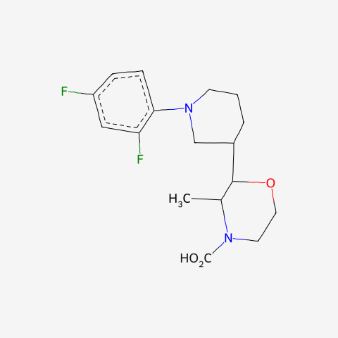 CC1C(C2CCCN(c3ccc(F)cc3F)C2)OCCN1C(=O)O